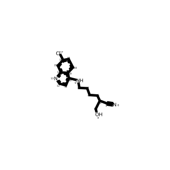 N#CC(CO)CCCCNc1ccnc2cc(Cl)ccc12